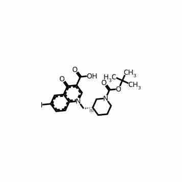 CC(C)(C)OC(=O)N1CCC[C@H](Cn2cc(C(=O)O)c(=O)c3cc(I)ccc32)C1